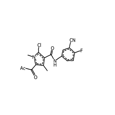 CC(=O)C(=O)c1c(C)c(C(=O)Nc2ccc(F)c(C#N)c2)c(Cl)n1C